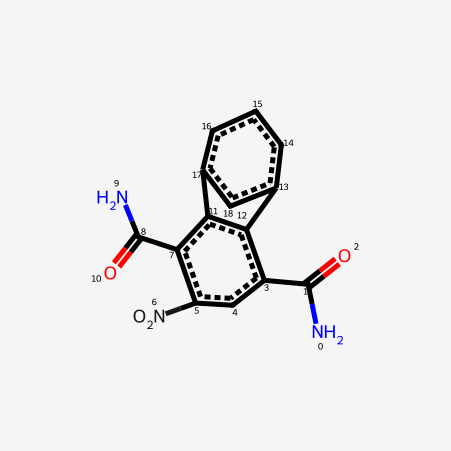 NC(=O)c1cc([N+](=O)[O-])c(C(N)=O)c2c1-c1cccc-2c1